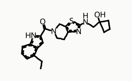 CCc1cccc2[nH]c(C(=O)N3CCc4nc(NCC5(O)CCC5)sc4C3)cc12